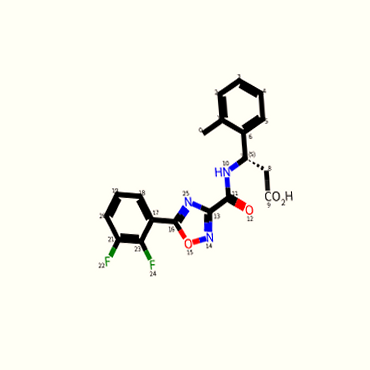 Cc1ccccc1[C@H](CC(=O)O)NC(=O)c1noc(-c2cccc(F)c2F)n1